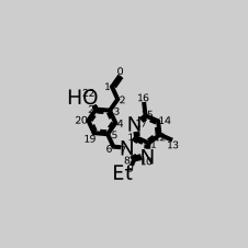 C=CCc1cc(Cn2c(CC)nc3c(C)cc(C)nc32)ccc1O